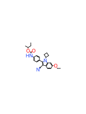 CCOc1ccc2c(C#N)c(-c3ccc(NC(=O)OC(C)CC)cc3)n(C3CCC3)c2c1